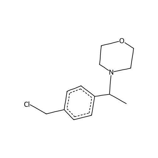 CC(c1ccc(CCl)cc1)N1CCOCC1